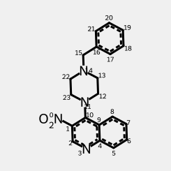 O=[N+]([O-])c1cnc2ccccc2c1N1CCN(Cc2ccccc2)CC1